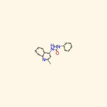 Cc1cc(NC(=O)Nc2ccccc2)c2ccccc2n1